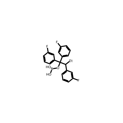 CCC(c1cccc(F)c1)C(OB(O)O)(c1cccc(F)c1)c1cccc(F)c1